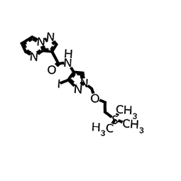 CS(C)(C)CCOCn1cc(NC(=O)c2cnn3cccnc23)c(I)n1